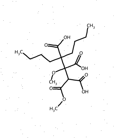 CCCCC(CCCC)(C(=O)O)C(OC)(C(=O)O)C(C(=O)O)C(=O)OC